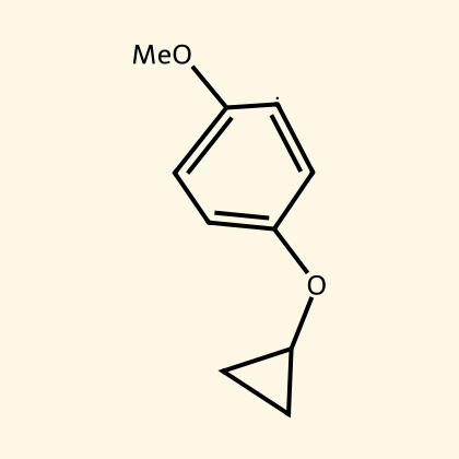 COc1[c]cc(OC2CC2)cc1